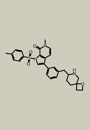 Cc1ccc(S(=O)(=O)n2cc(-c3cccc(CC4CCC5(CCO5)CN4)c3)c3ccn(C)c(=O)c32)cc1